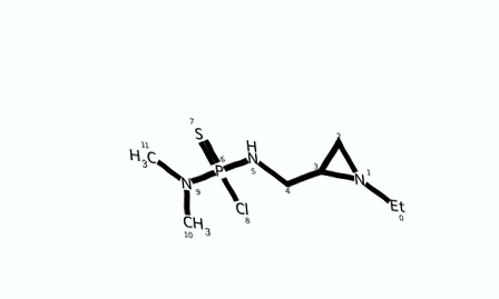 CCN1CC1CNP(=S)(Cl)N(C)C